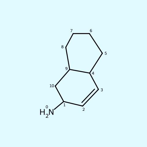 NC1C=CC2CCCCC2C1